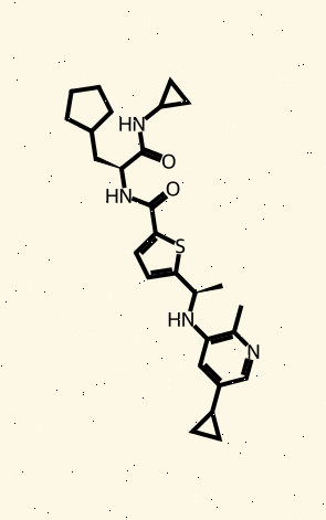 Cc1ncc(C2CC2)cc1N[C@H](C)c1ccc(C(=O)N[C@@H](CC2CCCC2)C(=O)NC2CC2)s1